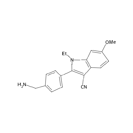 CCn1c(-c2ccc(CN)cc2)c(C#N)c2ccc(OC)cc21